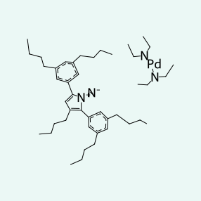 CCCCC1=C(c2cc(CCCC)cc(CCCC)c2)[N+](=[N-])C(c2cc(CCCC)cc(CCCC)c2)=C1.CC[N](CC)[Pd][N](CC)CC